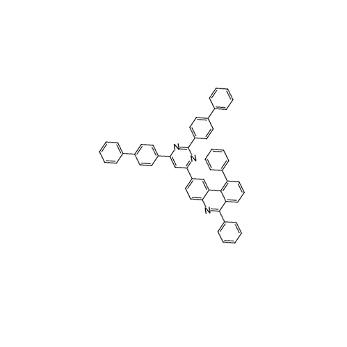 c1ccc(-c2ccc(-c3cc(-c4ccc5nc(-c6ccccc6)c6cccc(-c7ccccc7)c6c5c4)nc(-c4ccc(-c5ccccc5)cc4)n3)cc2)cc1